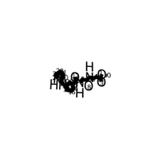 COC(=O)CCNC(=O)CNC(=O)c1cccc(Nc2ccccn2)c1